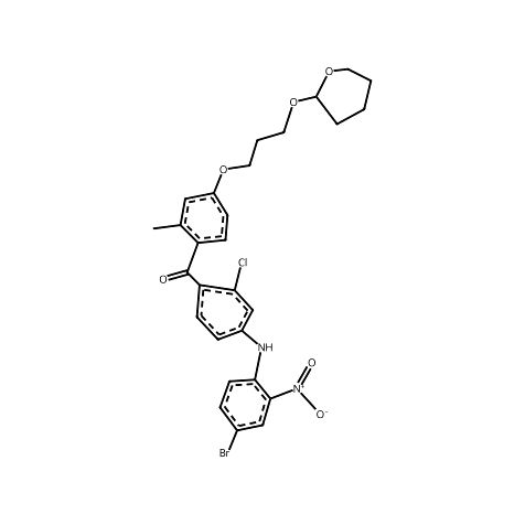 Cc1cc(OCCCOC2CCCCO2)ccc1C(=O)c1ccc(Nc2ccc(Br)cc2[N+](=O)[O-])cc1Cl